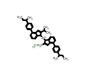 CCC(C)c1ccc(-c2cccc3c2C=C(C)[CH]3[Zr+2][CH]2C(C(C)C)=Cc3c(-c4ccc(C(C)CC)cc4)cccc32)cc1.[Cl-].[Cl-]